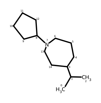 CC(C)C1CCCN(C2CCCC2)CC1